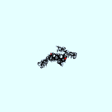 C=C(C)[C@@H]1CC[C@]2(NCC(C(C)NC(=O)OCC)N3CCS(=O)(=O)CC3)CC[C@]3(C)[C@H](CC[C@@H]4[C@@]5(C)CC[C@H](OC(=O)CC(C)(C)C(=O)O)C(C)(C)[C@@H]5CC[C@]43C)[C@@H]12